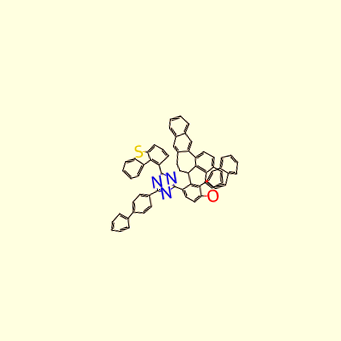 c1ccc(-c2ccc(-c3nc(-c4ccc5oc6cc7ccccc7cc6c5c4C4CCc5cc6ccccc6cc5-c5ccc6ccccc6c54)nc(-c4cccc5sc6ccccc6c45)n3)cc2)cc1